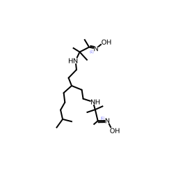 C/C(=N\O)C(C)(C)NCCC(CCCC(C)C)CCNC(C)(C)/C(C)=N/O